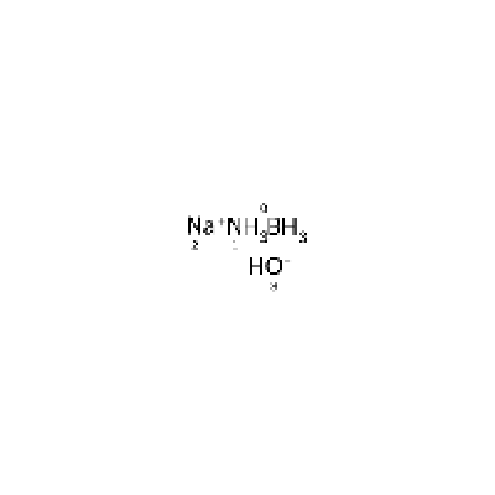 B.N.[Na+].[OH-]